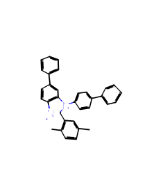 Cc1ccc(C)c(-c2n(-c3ccc(-c4ccccc4)cc3)c3cc(-c4ccccc4)ccc3[n+]2C)c1